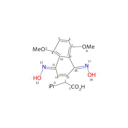 CC(C)CC(=O)O.COc1ccc(OC)c2c1C(=NO)C=CC2=NO